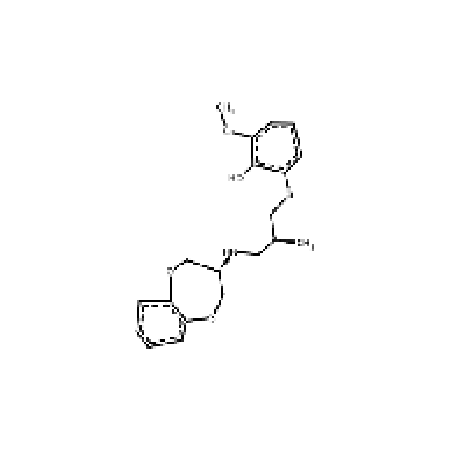 COc1cccc(SC[C@@H](C)CN[C@@H]2COc3ccccc3SC2)c1O